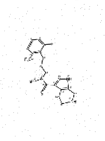 CCCN(CCCc1c(F)cccc1C(F)(F)F)C(=O)c1n[nH]c2c1CCNC2